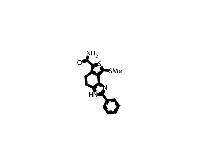 CSc1sc(C(N)=O)c2c1-c1nc(-c3ccccc3)[nH]c1CC2